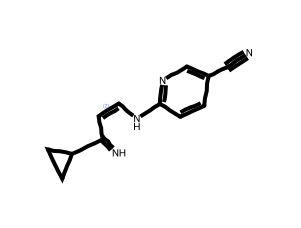 N#Cc1ccc(N/C=C\C(=N)C2CC2)nc1